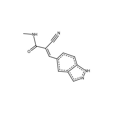 CNC(=O)/C(C#N)=C/c1ccc2[nH]ncc2c1